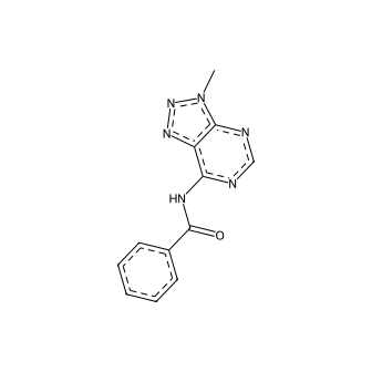 Cn1nnc2c(NC(=O)c3ccccc3)ncnc21